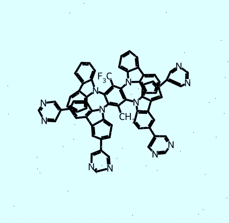 Cc1c(-n2c3ccc(-c4cncnc4)cc3c3cc(-c4cncnc4)ccc32)c(-n2c3ccccc3c3ccccc32)c(C(F)(F)F)c(-n2c3ccccc3c3ccccc32)c1-n1c2ccc(-c3cncnc3)cc2c2cc(-c3cncnc3)ccc21